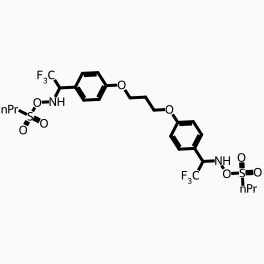 CCCS(=O)(=O)ONC(c1ccc(OCCCOc2ccc(C(NOS(=O)(=O)CCC)C(F)(F)F)cc2)cc1)C(F)(F)F